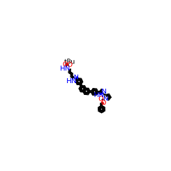 CC(C)(C)OC(=O)NCCCCc1nc2ccc(-c3ccc4ccc(-c5ccc(-c6cnc([C@@H]7CCCN7C(=O)OCc7ccccc7)[nH]6)cc5)cc4c3)cc2[nH]1